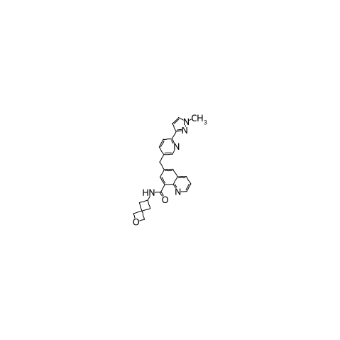 Cn1ccc(-c2ccc(Cc3cc(C(=O)NC4CC5(COC5)C4)c4ncccc4c3)cn2)n1